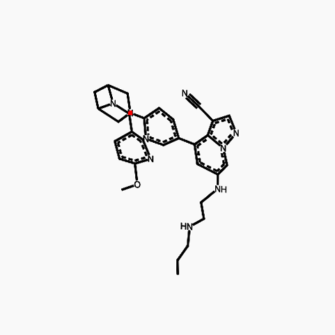 CCCNCCNc1cc(-c2ccc(N3CC4CC(C3)N4Cc3ccc(OC)nc3)nc2)c2c(C#N)cnn2c1